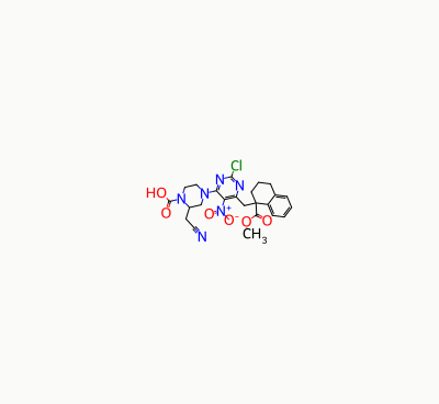 COC(=O)C1(Cc2nc(Cl)nc(N3CCN(C(=O)O)C(CC#N)C3)c2[N+](=O)[O-])CCCc2ccccc21